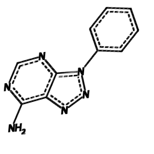 Nc1ncnc2c1nnn2-c1ccccc1